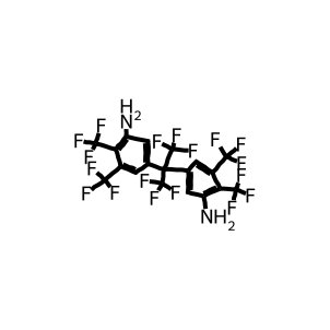 Nc1cc(C(c2cc(N)c(C(F)(F)F)c(C(F)(F)F)c2)(C(F)(F)F)C(F)(F)F)cc(C(F)(F)F)c1C(F)(F)F